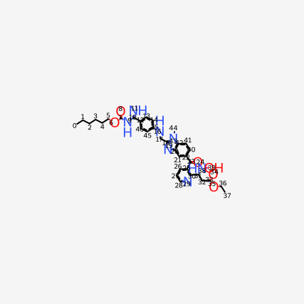 CCCCCCOC(=O)NC(=N)c1ccc(NCc2nc3cc(C(=O)c4cccnc4C(CC(=O)OCC)NO)ccc3n2C)cc1